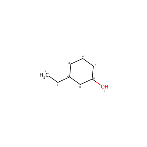 [CH2]CC1CCCC(O)C1